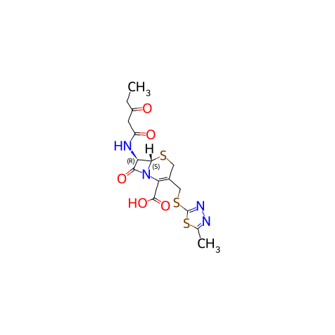 CCC(=O)CC(=O)N[C@@H]1C(=O)N2C(C(=O)O)=C(CSc3nnc(C)s3)CS[C@@H]12